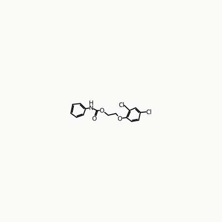 O=C(Nc1ccccc1)OCCOc1ccc(Cl)cc1Cl